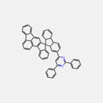 C1=CC2C3C=CC(c4cc(-c5ccccc5)nc(-c5ccccc5)n4)=CC3C3(c4ccccc4-c4c3cc3c5c(cccc45)-c4ccccc4-3)C2C=C1